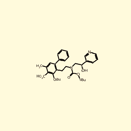 Cc1cc(-c2ccccc2)c(CCN(C[C@H](O)c2cccnc2)C(=O)OC(C)(C)C)c(OCC(C)C)c1C(=O)O